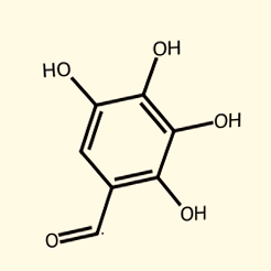 O=[C]c1cc(O)c(O)c(O)c1O